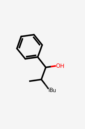 CCC(C)C(C)C(O)c1ccccc1